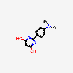 CC(C)N(c1ccc(-c2nc(O)cc(O)n2)cc1)C(C)C